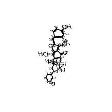 Cl.[2H]C1([2H])CC(c2cccc(Cl)c2)CC([2H])([2H])N1CC1=C(O)C=c2oc3c(c2C1=O)NOc1cc(O)ccc1C=3